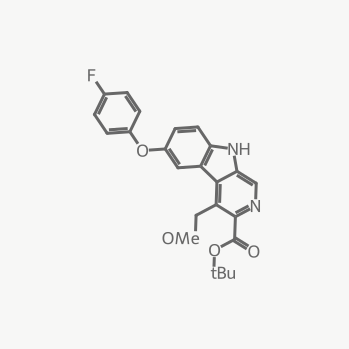 COCc1c(C(=O)OC(C)(C)C)ncc2[nH]c3ccc(Oc4ccc(F)cc4)cc3c12